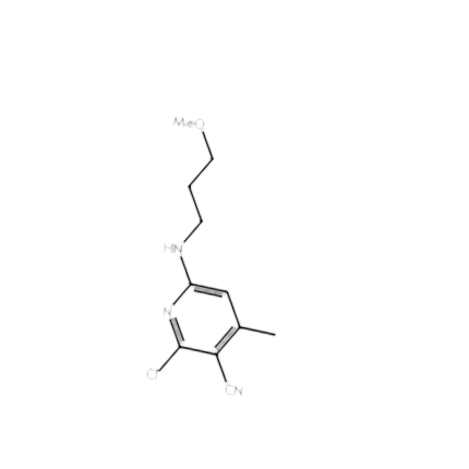 COCCCNc1cc(C)c(C#N)c(Cl)n1